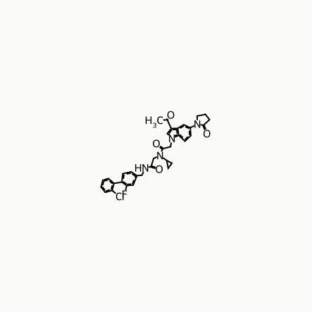 CC(=O)c1cn(CC(=O)N(CC(=O)NCc2ccc(-c3ccccc3Cl)c(F)c2)C2CC2)c2ccc(N3CCCC3=O)cc12